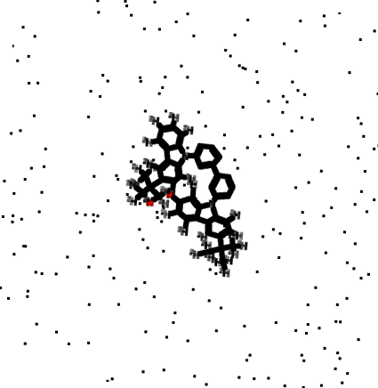 [2H]c1c([2H])c([2H])c2c(c1[2H])c1c([2H])c(C(C([2H])([2H])[2H])(C([2H])([2H])[2H])C([2H])([2H])[2H])c([2H])c([2H])c1n2-c1cccc(-c2cccc(-n3c4c([2H])c([2H])c([2H])c([2H])c4c4c([2H])c(C(C([2H])([2H])[2H])(C([2H])([2H])[2H])C([2H])([2H])[2H])c([2H])c([2H])c43)c2)c1